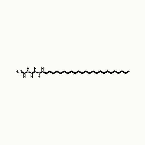 CCCCCCCCCCCCCCCCCCCCCCCCNNNNNNN